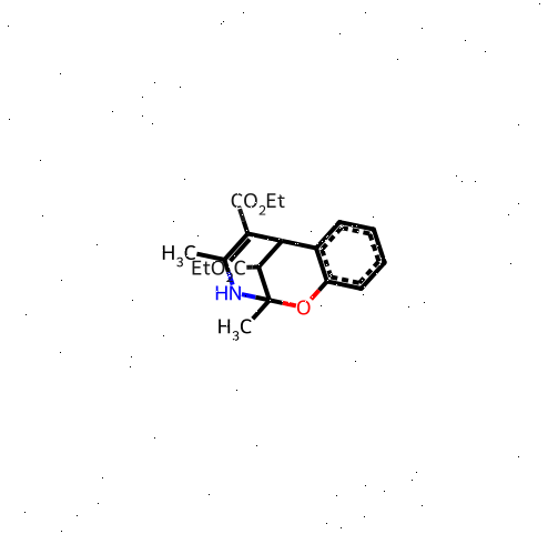 CCOC(=O)C1=C(C)NC2(C)Oc3ccccc3C1C2C(=O)OCC